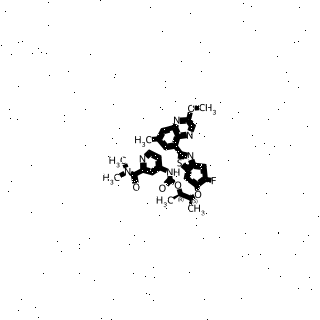 COc1cnc2c(-c3nc4cc(F)c(O[C@@H](C)[C@@H](C)OC(=O)Nc5ccnc(C(=O)N(C)C)c5)cc4s3)cc(C)cc2n1